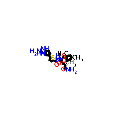 Cc1cc(C)c(S(=O)(=O)NC(O)(CCCC(N)=O)NC(=O)c2ccc(-c3cccc(NC(=N)N)c3)s2)c(C)c1